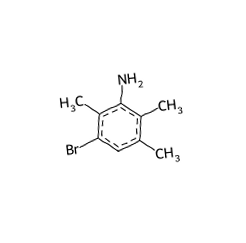 Cc1cc(Br)c(C)c(N)c1C